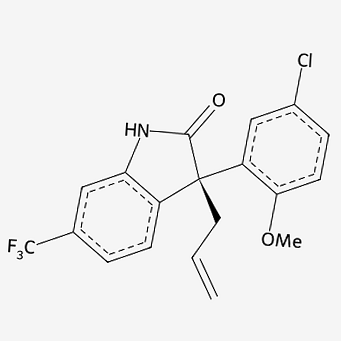 C=CC[C@]1(c2cc(Cl)ccc2OC)C(=O)Nc2cc(C(F)(F)F)ccc21